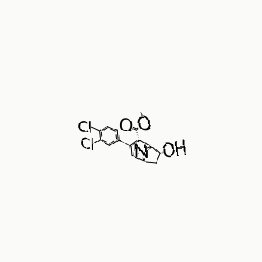 COC(=O)[C@@H]1C2[C@H](O)CC(C[C@H]1c1ccc(Cl)c(Cl)c1)N2C